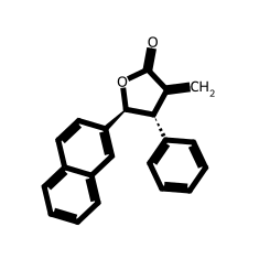 C=C1C(=O)O[C@H](c2ccc3ccccc3c2)[C@H]1c1ccccc1